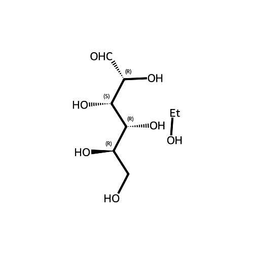 CCO.O=C[C@H](O)[C@@H](O)[C@H](O)[C@H](O)CO